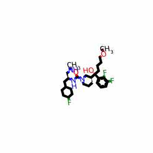 CNC[C@H](CC1CCC(F)CC1)NC(=O)N1CCC[C@@H]([C@@](O)(CCCCOC)c2cccc(F)c2F)C1